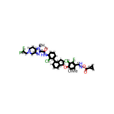 COc1cc(OC2CCc3c(-c4cccc(NC(=O)c5nc6c(n5C)CCN(CC(F)F)C6)c4Cl)cccc32)c(Cl)c(F)c1CNOC(=O)C1CC1